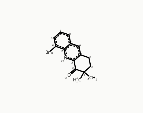 CC1(C)CCc2cc3cccc(Br)c3nc2C1=O